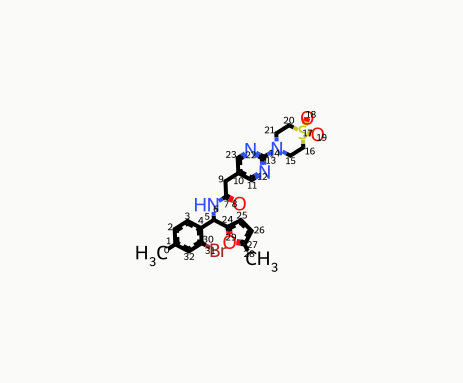 Cc1ccc(C(NC(=O)Cc2cnc(N3CCS(=O)(=O)CC3)nc2)c2ccc(C)o2)c(Br)c1